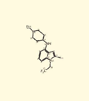 CCN1CCC(Nc2cccc3c2cc(I)n3CC(F)(F)F)CC1